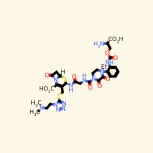 CC[N+]1(c2ccccc2NC(=O)OCC(N)C(=O)O)CCN(C(=O)NCC(=O)N[C@@H]2S[C@H]3CC(=O)N3C(C(=O)O)=C2CSc2nnnn2CCN(C)C)C(=O)C1=O